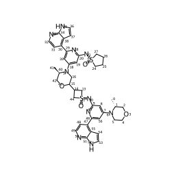 C[C@@H]1COCCN1c1cc(N=S2(=O)CC(C3CN(c4cc(N=S5(=O)CCCC5)nc(-c5ccnc6[nH]ccc56)c4)[C@H](C)CO3)C2)nc(-c2ccnc3[nH]ccc23)c1